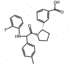 Cc1ccc(C(Nc2ccccc2F)C(=O)N2CCC[C@H]2c2cccc(C(=O)O)c2)cc1